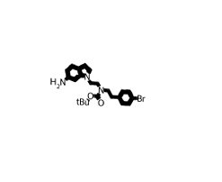 CC(C)(C)OC(=O)N(CCc1ccc(Br)cc1)CCn1ccc2ccc(N)cc21